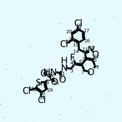 O=C(NCC(F)=C1COCc2onc(Cc3ccc(Cl)cc3Cl)c21)NS(=O)(=O)c1cc(Cl)c(Cl)s1